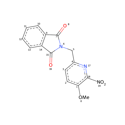 COc1ccc(CN2C(=O)c3ccccc3C2=O)nc1[N+](=O)[O-]